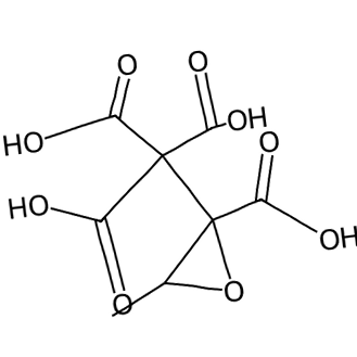 CC1OC1(C(=O)O)C(C(=O)O)(C(=O)O)C(=O)O